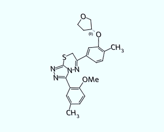 COc1ccc(C)cc1-c1nnc2n1N=C(c1ccc(C)c(O[C@@H]3CCOC3)c1)CS2